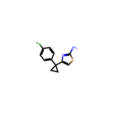 Nc1nc(C2(c3ccc(Br)cc3)CC2)cs1